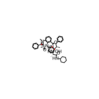 C[C@H](N[C@](O)(NC(=O)c1cccc(N(C)Cc2ccccc2)c1N(c1ccccc1)S(C)(=O)=O)[C@H](C)Cc1ccccc1)C(=O)NC1CCCCC1